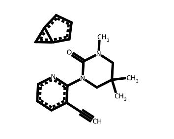 C#Cc1cccnc1N1CC(C)(C)CN(C)C1=O.c1cc2cc-2c1